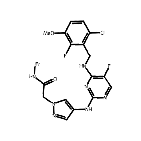 COc1ccc(Cl)c(CNc2nc(Nc3cnn(CC(=O)NC(C)C)c3)ncc2F)c1F